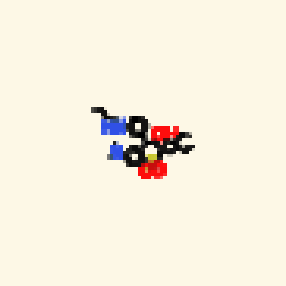 CCCCNc1cccc([C@@H]2c3cc(N(C)C)ccc3S(=O)(=O)CC(CCCC)(CCCC)[C@@H]2O)c1